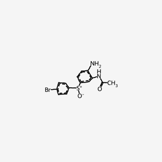 CC(=O)Nc1cc([S+]([O-])c2ccc(Br)cc2)ccc1N